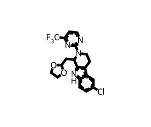 FC(F)(F)c1ccnc(N2CCc3c([nH]c4ccc(Cl)cc34)C2CC2OCCO2)n1